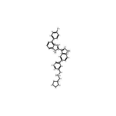 Fc1ccc(-c2cccc3[nH]c(-c4n[nH]c5ccc(-c6cncc(CNCC7CCCC7)c6)cc45)nc23)cc1